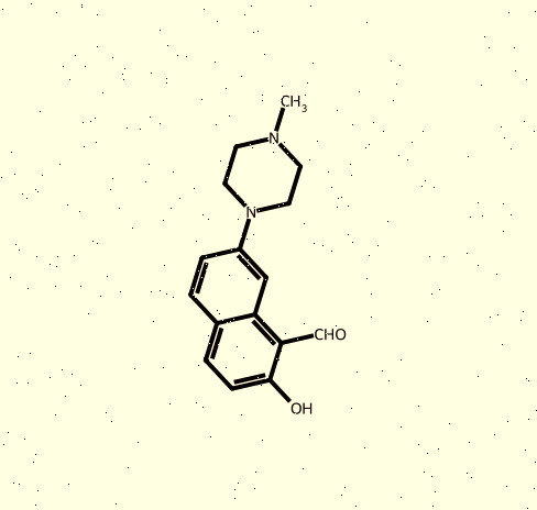 CN1CCN(c2ccc3ccc(O)c(C=O)c3c2)CC1